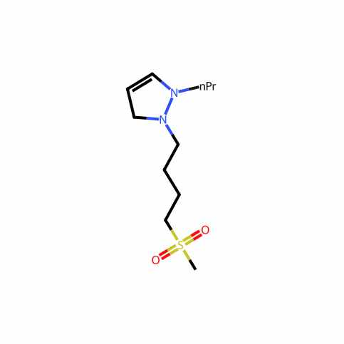 CCCN1C=CCN1CCCCS(C)(=O)=O